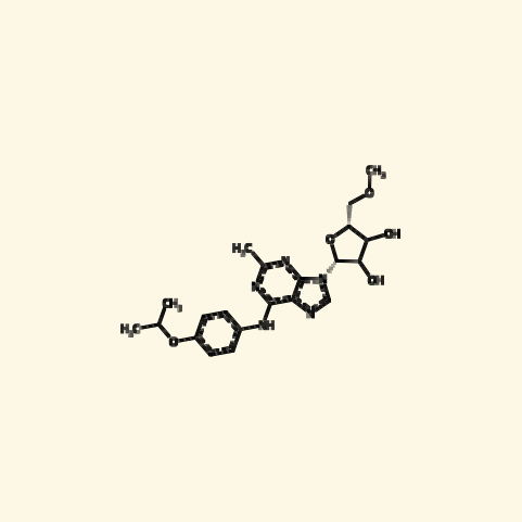 COC[C@H]1O[C@@H](n2cnc3c(Nc4ccc(OC(C)C)cc4)nc(C)nc32)C(O)C1O